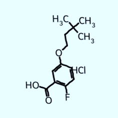 CC(C)(C)CCOc1ccc(F)c(C(=O)O)c1.Cl